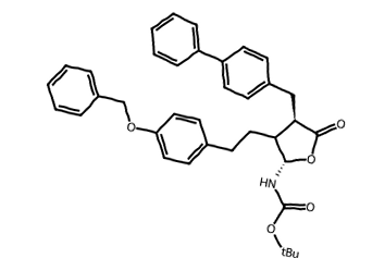 CC(C)(C)OC(=O)N[C@H]1OC(=O)[C@H](Cc2ccc(-c3ccccc3)cc2)C1CCc1ccc(OCc2ccccc2)cc1